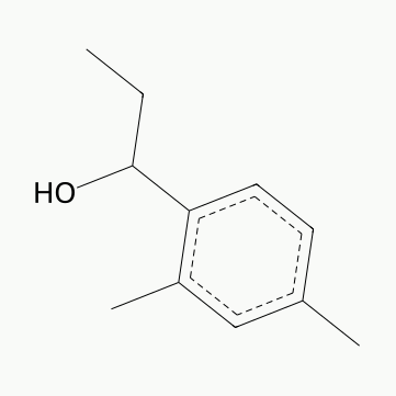 CCC(O)c1ccc(C)cc1C